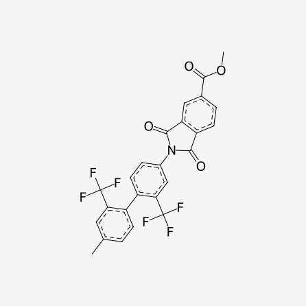 COC(=O)c1ccc2c(c1)C(=O)N(c1ccc(-c3ccc(C)cc3C(F)(F)F)c(C(F)(F)F)c1)C2=O